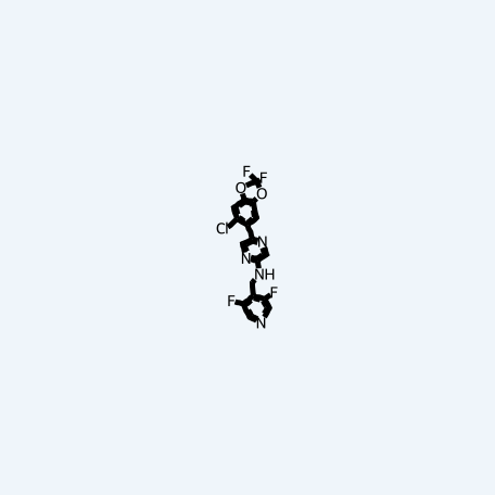 Fc1cncc(F)c1CNc1cnc(-c2cc3c(cc2Cl)OC(F)(F)O3)cn1